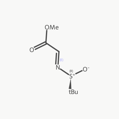 COC(=O)/C=N/[S@@+]([O-])C(C)(C)C